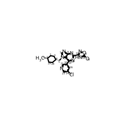 C[C@H]1CC[C@H](Cn2cnc3nc(-c4noc(=O)[nH]4)nc(-c4cncc(Cl)c4)c32)CC1